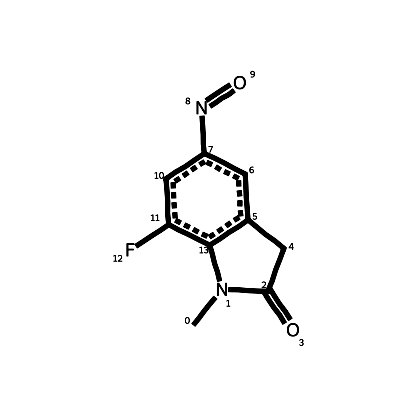 CN1C(=O)Cc2cc(N=O)cc(F)c21